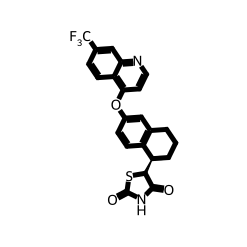 O=C1NC(=O)C([C@@H]2CCCc3cc(Oc4ccnc5cc(C(F)(F)F)ccc45)ccc32)S1